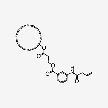 C=CCC(=O)Nc1cccc(C(=O)OCCC(=O)Oc2ccccccccccccc2)c1